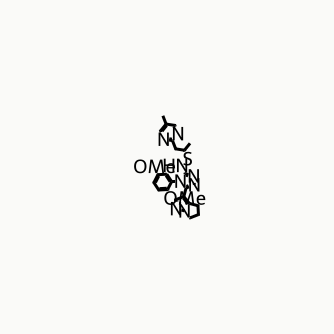 COc1cccc(OC)c1-n1c(NSC(C)Cc2ncc(C)cn2)nnc1-c1cnn2c1CCC2